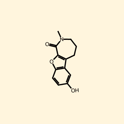 CN1CCCc2c(oc3ccc(O)cc23)C1=O